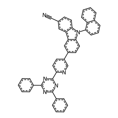 N#Cc1ccc2c(c1)c1cc(-c3ccc(-c4nc(-c5ccccc5)nc(-c5ccccc5)n4)nc3)ccc1n2-c1cccc2ccccc12